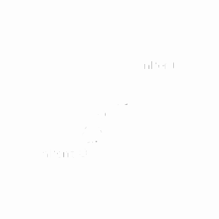 CCCCCOc1ccc(OCC=CC2CCC(CCCCC)CC2)cc1